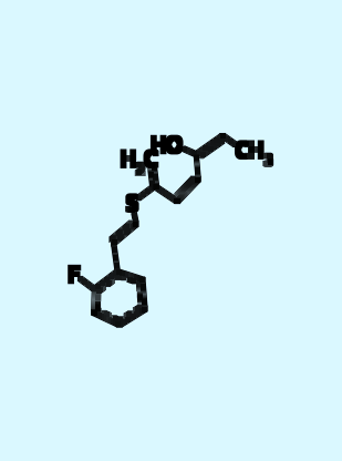 C=C(/C=C\C(O)=C/C)S/C=C/c1ccccc1F